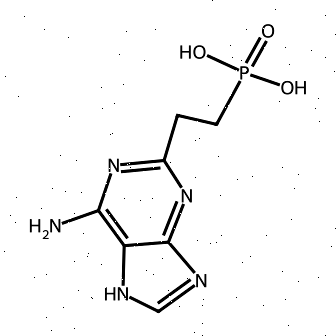 Nc1nc(CCP(=O)(O)O)nc2nc[nH]c12